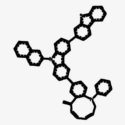 C=C1/C=C\C=C/CN(c2ccccc2)c2ccc(-c3ccc4c(c3)c3cc(-c5ccc6c(c5)sc5ccccc56)ccc3n4-c3ccc4ccccc4c3)cc21